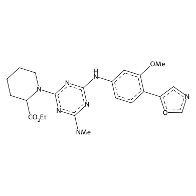 CCOC(=O)C1CCCCN1c1nc(NC)nc(Nc2ccc(-c3cnco3)c(OC)c2)n1